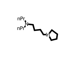 CCCN(CCC)CCC[CH2][In]1[CH2]CC[CH2]1